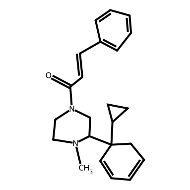 CN1CCN(C(=O)C=Cc2ccccc2)CC1C1(C2CC2)C=CC=CC1